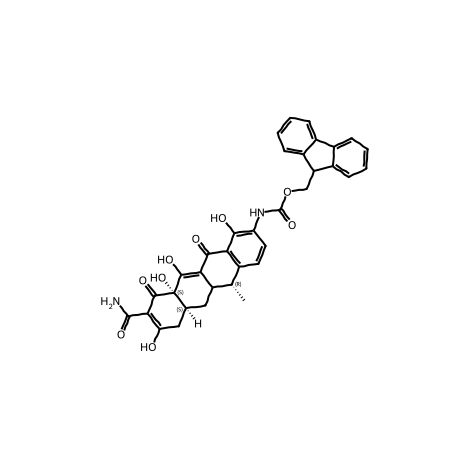 C[C@H]1c2ccc(NC(=O)OCC3c4ccccc4-c4ccccc43)c(O)c2C(=O)C2=C(O)[C@]3(O)C(=O)C(C(N)=O)=C(O)C[C@@H]3CC21